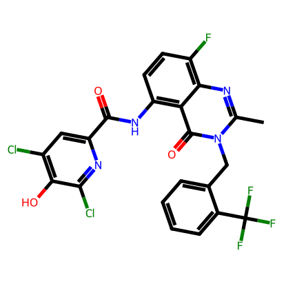 Cc1nc2c(F)ccc(NC(=O)c3cc(Cl)c(O)c(Cl)n3)c2c(=O)n1Cc1ccccc1C(F)(F)F